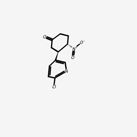 O=C1CC[C@H]([N+](=O)[O-])[C@@H](c2ccc(Cl)nc2)C1